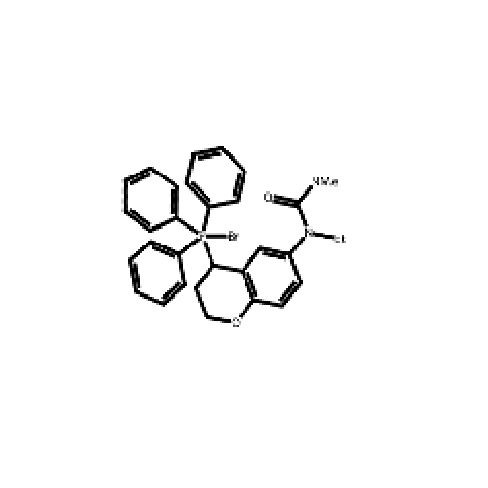 CCN(C(=O)NC)c1ccc2c(c1)C(P(Br)(c1ccccc1)(c1ccccc1)c1ccccc1)CCO2